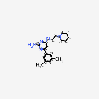 Cc1cc(C)cc(-c2cc(NCCN3CCCCC3)nc(N)n2)c1